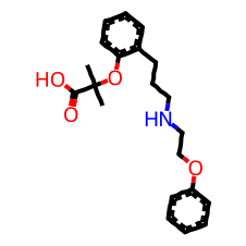 CC(C)(Oc1ccccc1CCCNCCOc1ccccc1)C(=O)O